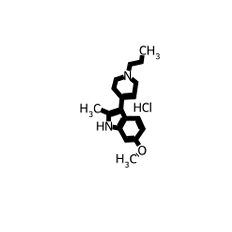 CCCN1CC=C(c2c(C)[nH]c3cc(OC)ccc23)CC1.Cl